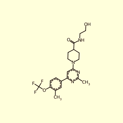 Cc1nc(-c2ccc(OC(F)(F)F)c(C)c2)cc(N2CCC(C(=O)NCCO)CC2)n1